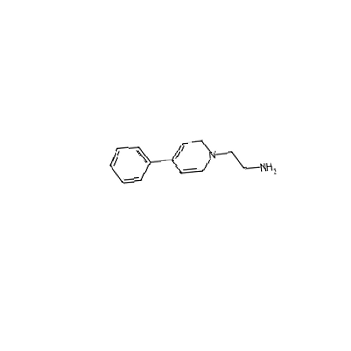 NCCN1C=CC(c2ccccc2)=CC1